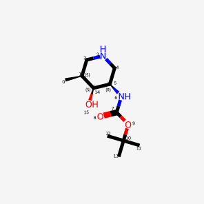 C[C@H]1CNC[C@@H](NC(=O)OC(C)(C)C)[C@H]1O